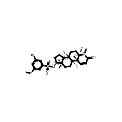 COc1cc(Br)cc(S(=O)(=O)N[C@H]2CC[C@H]3[C@@H]4CC[C@H]5N(C)C(=O)C=C[C@]5(C)[C@H]4CC[C@]23C)c1